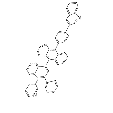 c1ccc(-c2cc(-c3c4ccccc4c(-c4ccc(-c5cnc6ccccc6c5)cc4)c4ccccc34)c3ccccc3c2-c2cccnc2)cc1